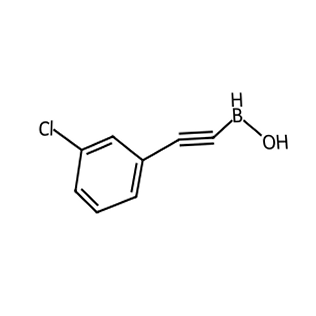 OBC#Cc1cccc(Cl)c1